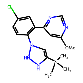 COc1cc(-c2cc(Cl)ccc2N2C=C([Si](C)(C)C)NN2)ncn1